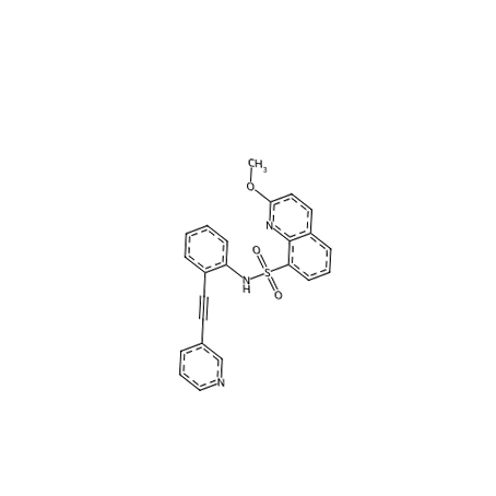 COc1ccc2cccc(S(=O)(=O)Nc3ccccc3C#Cc3cccnc3)c2n1